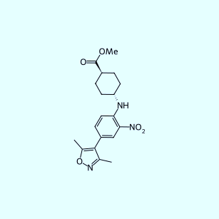 COC(=O)[C@H]1CC[C@H](Nc2ccc(-c3c(C)noc3C)cc2[N+](=O)[O-])CC1